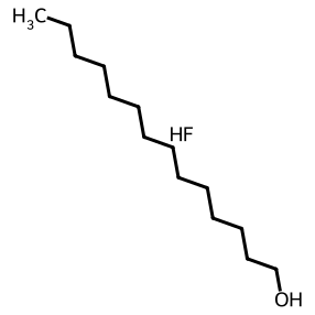 CCCCCCCCCCCCCCO.F